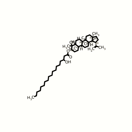 C=C(C)[C@@H]1CC[C@]2(C)CC[C@]3(C)[C@H](CC[C@@H]4[C@@]5(C)CC[C@H](OC(=O)CC(O)CCCCCCCCCCCCCCC)C(C)(C)[C@@H]5CC[C@]43C)[C@@H]12